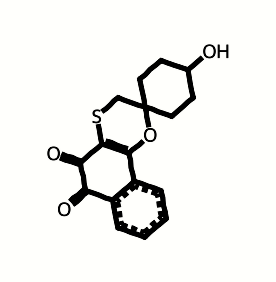 O=C1C(=O)c2ccccc2C2=C1SCC1(CCC(O)CC1)O2